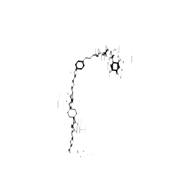 COCCOCCNC(=O)NC1CCC(NC(=O)NCCOCCOc2ccc(CCCCNC(=N)NC(=O)c3nc(Cl)c(N)nc3N)cc2)CC1